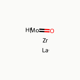 [Hf].[La].[O]=[Mo].[Zr]